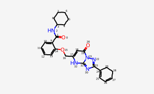 O=C(NC1CCCCC1)c1ccccc1OCc1cc(=O)n2nc(C3=CC=CCC3)nc2[nH]1